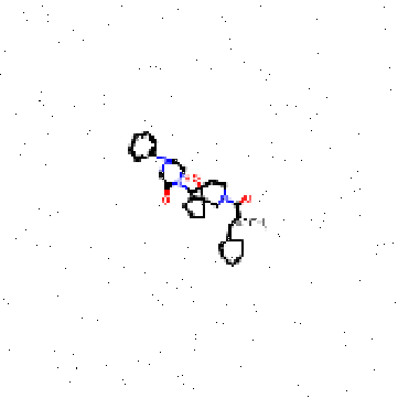 C[C@H](CC1CCCCC1)C(=O)N1CCC(O)(CN2CCN(c3ccccc3)CC2=O)C2(CCCC2)C1